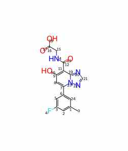 Cc1cc(F)cc(-c2cc(O)c(C(=O)NCC(=O)O)c3ncnn23)c1